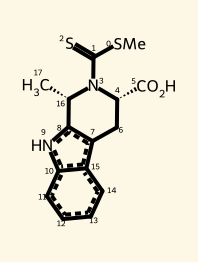 CSC(=S)N1[C@H](C(=O)O)Cc2c([nH]c3ccccc23)[C@@H]1C